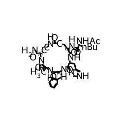 CCCCC(NC(C)=O)C(=O)N[C@H]1CCC(=O)NCC[C@@H](C(N)=O)NC(=O)[C@H](C)NC(=O)[C@@H](Cc2ccccc2)NC(=O)C(Cc2c[nH]cn2)NC1=O